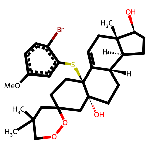 COc1ccc(Br)c(S[C@]23CCC4(CC(C)(C)COO4)C[C@]2(O)CC[C@@H]2C3=CC[C@]3(C)[C@@H](O)CC[C@@H]23)c1